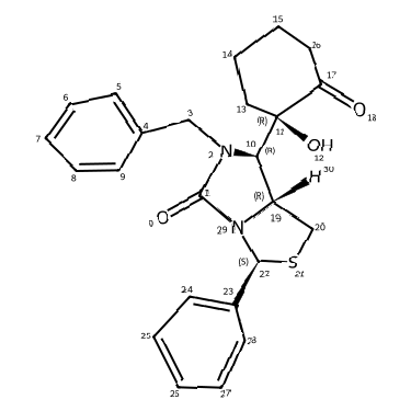 O=C1N(Cc2ccccc2)[C@@H]([C@]2(O)CCCCC2=O)[C@@H]2CS[C@@H](c3ccccc3)N12